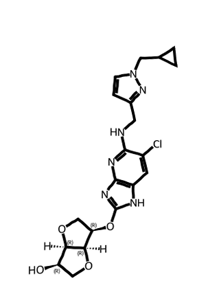 O[C@@H]1CO[C@H]2[C@@H]1OC[C@H]2Oc1nc2nc(NCc3ccn(CC4CC4)n3)c(Cl)cc2[nH]1